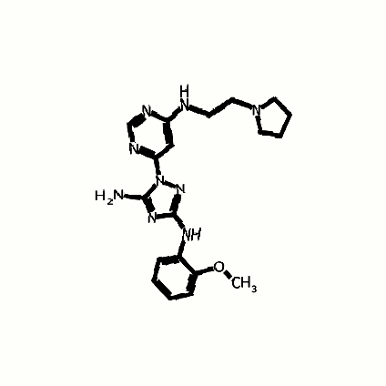 COc1ccccc1Nc1nc(N)n(-c2cc(NCCN3CCCC3)ncn2)n1